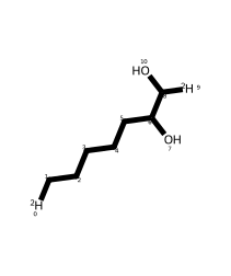 [2H]CCCCCC(O)C([2H])O